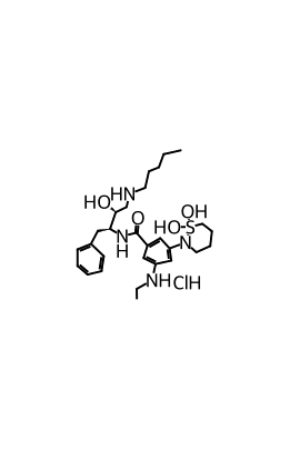 CCCCCNC[C@H](O)[C@H](Cc1ccccc1)NC(=O)c1cc(NCC)cc(N2CCCCS2(O)O)c1.Cl